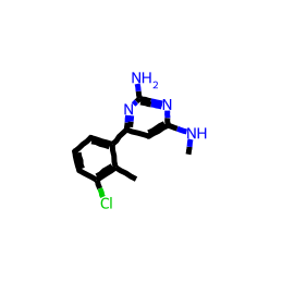 CNc1cc(-c2cccc(Cl)c2C)nc(N)n1